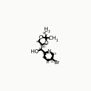 CC1(C)OC[C@H](C(O)c2ccc(Br)cn2)O1